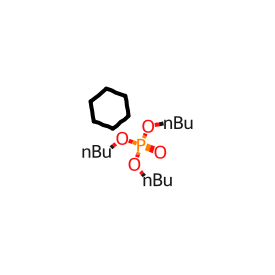 C1CCCCC1.CCCCOP(=O)(OCCCC)OCCCC